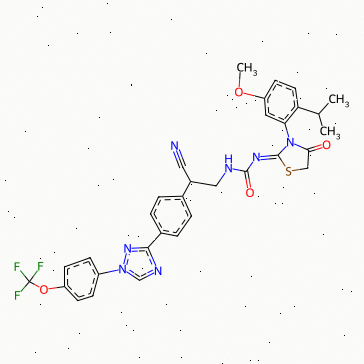 COc1ccc(C(C)C)c(N2C(=O)CS/C2=N\C(=O)NCC(C#N)c2ccc(-c3ncn(-c4ccc(OC(F)(F)F)cc4)n3)cc2)c1